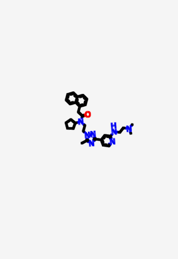 Cc1nc(-c2ccnc(NCCN(C)C)c2)nn1CCN(C(=O)Cc1cccc2ccccc12)C1CCCC1